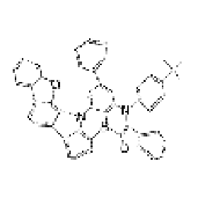 CC(C)(C)c1ccc(N2c3cc(-c4ccccc4)cc4c3B(c3oc5ccccc5c32)c2cccc3c5ccc6c7ccccc7oc6c5n-4c23)cc1